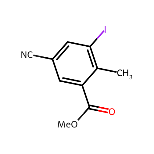 COC(=O)c1cc(C#N)cc(I)c1C